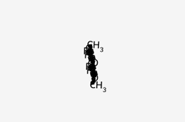 CCCCOc1ccc(-c2ccc(OC(=O)C3CCC(c4ccc(OCC)c(F)c4F)CC3)c(F)c2F)cc1